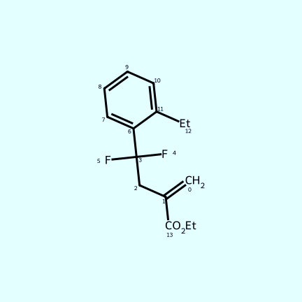 C=C(CC(F)(F)c1ccccc1CC)C(=O)OCC